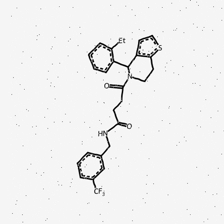 CCc1ccccc1C1c2ccsc2CCN1C(=O)CCC(=O)NCc1cccc(C(F)(F)F)c1